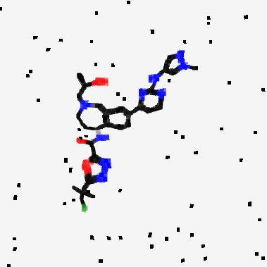 C[C@@H](O)CN1CC[C@@H](NC(=O)c2nnc(C(C)(C)CF)o2)c2ccc(-c3ccnc(Nc4cnn(C)c4)n3)cc2C1